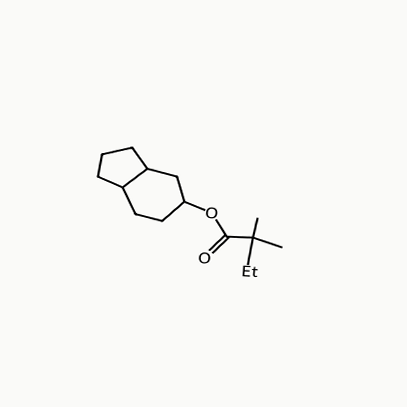 CCC(C)(C)C(=O)OC1CCC2CCCC2C1